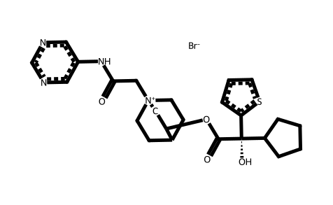 O=C(C[N+]12CCC(CC1)C(OC(=O)[C@@](O)(c1cccs1)C1CCCC1)C2)Nc1cncnc1.[Br-]